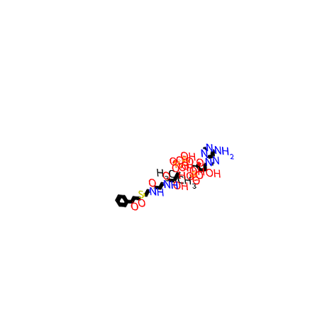 CC(C)(COP(=O)(O)OP(=O)(O)OC[C@H]1O[C@@H](n2cnc3c(N)ncnc32)[C@H](O)[C@@H]1OP(=O)(O)O)C(O)C(=O)NCCC(=O)NCCSC(=O)CC(=O)c1ccccc1